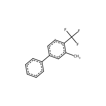 Cc1cc(-c2ccccc2)c[c]c1C(F)(F)F